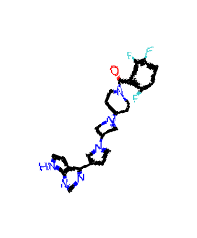 O=C(c1c(F)ccc(F)c1F)N1CCC(N2C[C](n3ccc(-c4ncnc5[nH]ccc45)c3)C2)CC1